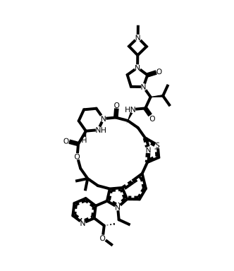 CCn1c(-c2cccnc2[C@H](C)OC)c2c3cc(ccc31)-c1csc(n1)C[C@H](NC(=O)[C@H](C(C)C)N1CCN(C3CN(C)C3)C1=O)C(=O)N1CCC[C@H](N1)C(=O)OCC(C)(C)C2